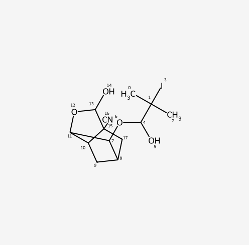 CC(C)(I)C(O)OC1C2CC3C1OC(O)C3(C#N)C2